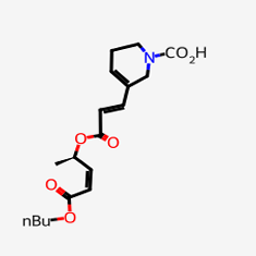 CCCCOC(=O)/C=C\[C@@H](C)OC(=O)/C=C/C1=CCCN(C(=O)O)C1